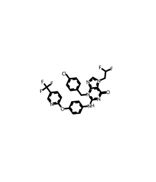 O=c1nc(Nc2ccc(Oc3ccc(C(F)(F)F)cn3)cc2)n(Cc2ccc(Cl)cc2)c2ncn(CC(F)F)c12